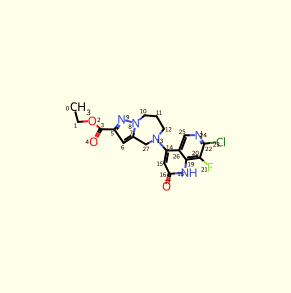 CCOC(=O)c1cc2n(n1)CCCN(c1cc(=O)[nH]c3c(F)c(Cl)ncc13)C2